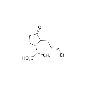 CCC=CCC1C(=O)CCC1C(C)C(=O)O